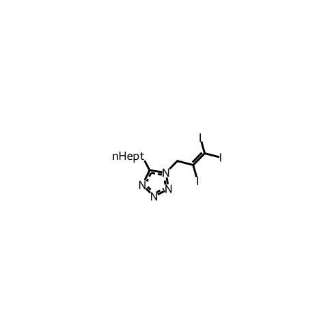 CCCCCCCc1nnnn1CC(I)=C(I)I